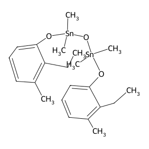 CCc1c(C)cccc1[O][Sn]([CH3])([CH3])[O][Sn]([CH3])([CH3])[O]c1cccc(C)c1CC